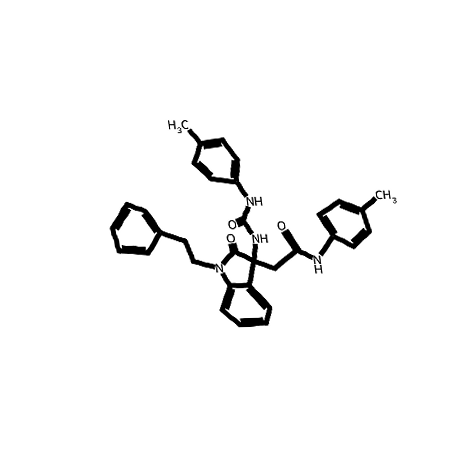 Cc1ccc(NC(=O)CC2(NC(=O)Nc3ccc(C)cc3)C(=O)N(CCc3ccccc3)c3ccccc32)cc1